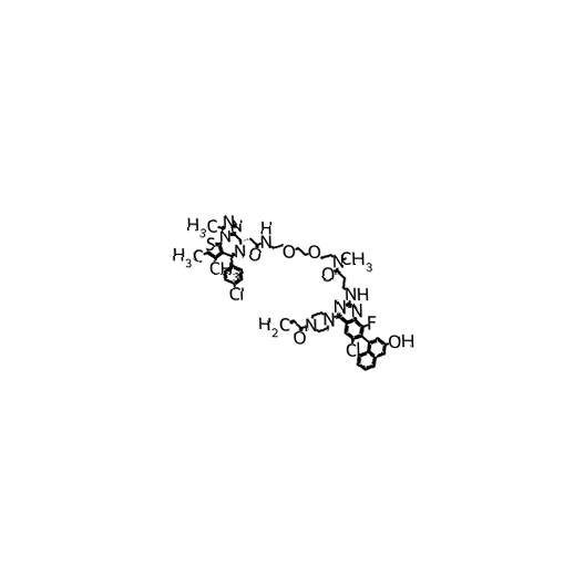 C=CC(=O)N1CCN(c2nc(NCCC(=O)N(C)CCOCCOCCNC(=O)C[C@@H]3N=C(c4ccc(Cl)cc4)c4c(sc(C)c4C)-n4c(C)nnc43)nc3c(F)c(-c4cc(O)cc5ccccc45)c(Cl)cc23)CC1